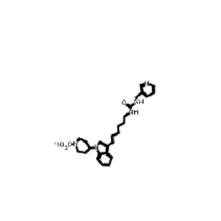 O=C(NCCCCCCc1cn(C2CCN(C(=O)O)CC2)c2ccccc12)NCc1cccnc1